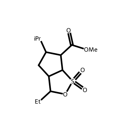 CCC1OS(=O)(=O)C2C1CC(C(C)C)C2C(=O)OC